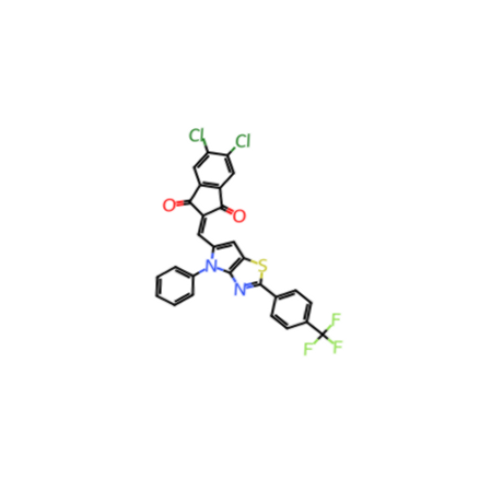 O=C1C(=Cc2cc3sc(-c4ccc(C(F)(F)F)cc4)nc3n2-c2ccccc2)C(=O)c2cc(Cl)c(Cl)cc21